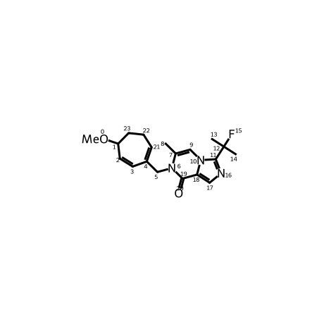 COC1C=CC(Cn2c(C)cn3c(C(C)(C)F)ncc3c2=O)=CCC1